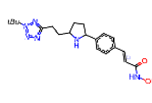 CC(C)(C)n1nnc(CCC2CCC(c3ccc(/C=C/C(=O)NO)cc3)N2)n1